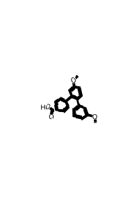 COc1cccc(-c2ccc(OC)cc2-c2ccccc2)c1.O=CO